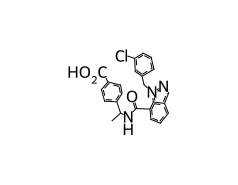 CC(NC(=O)c1cccc2cnn(Cc3cccc(Cl)c3)c12)c1ccc(C(=O)O)cc1